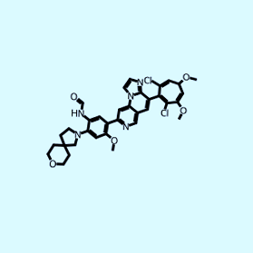 COC1=CC(OC)C=C(Cl)C(c2cc3cnc(-c4cc(NC=O)c(N5CCC6(CCOCC6)C5)cc4OC)cc3n3ccnc23)=C1Cl